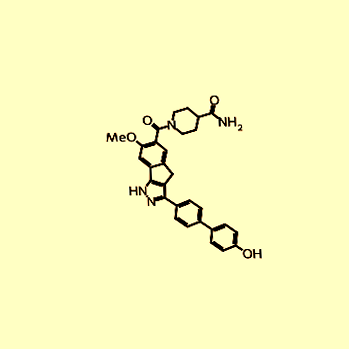 COc1cc2c(cc1C(=O)N1CCC(C(N)=O)CC1)Cc1c(-c3ccc(-c4ccc(O)cc4)cc3)n[nH]c1-2